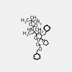 CC[C@@](C)(NC(=O)OC(C)(C)C)C(=O)N[C@@H](Cc1ccccc1)C(=O)N1CCC[C@@H]1C(=O)OCc1ccccc1